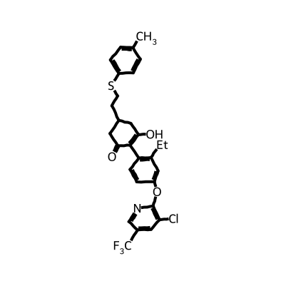 CCc1cc(Oc2ncc(C(F)(F)F)cc2Cl)ccc1C1=C(O)CC(CCSc2ccc(C)cc2)CC1=O